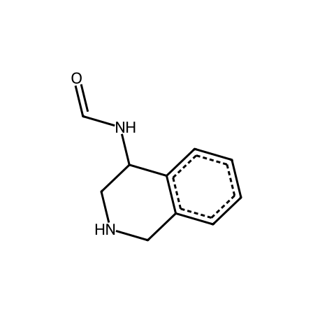 O=CNC1CNCc2ccccc21